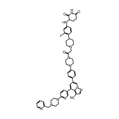 N#Cc1cnn2cc(-c3ccc(N4CCN(C(=O)CN5CCC(c6ccc(NC7CCC(=O)NC7=O)cc6F)CC5)CC4)cc3)cc(-c3ccc(N4CCN(Cc5ccccn5)CC4)nc3)c12